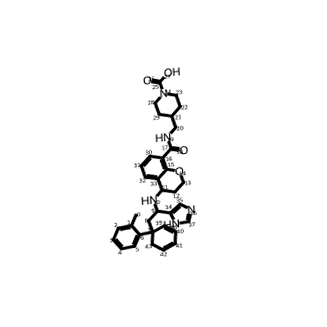 Cc1ccccc1C1(CC(NC2CCOc3c(C(=O)NCC4CCN(C(=O)O)CC4)cccc32)c2cnc[nH]2)C=CC=CC1